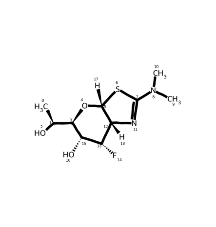 C[C@H](O)[C@H]1O[C@@H]2SC(N(C)C)=N[C@@H]2[C@H](F)[C@@H]1O